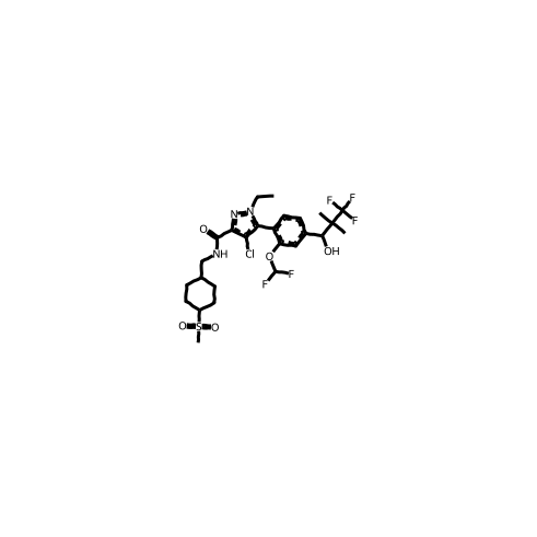 CCn1nc(C(=O)NCC2CCC(S(C)(=O)=O)CC2)c(Cl)c1-c1ccc(C(O)C(C)(C)C(F)(F)F)cc1OC(F)F